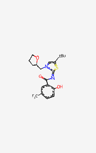 CC(C)(C)c1cn(CC2CCCO2)c(=NC(=O)c2cc(C(F)(F)F)ccc2O)s1